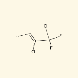 [CH2]C=C(Cl)C(F)(F)Cl